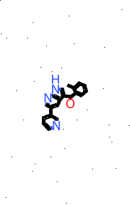 Cc1ccccc1C(=O)c1c[nH]c2ncc(-c3cccnc3)cc12